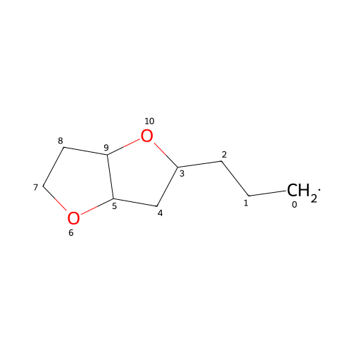 [CH2]CCC1CC2OCCC2O1